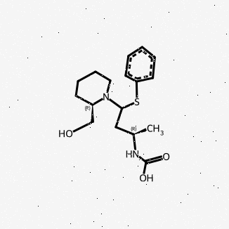 C[C@H](CC(Sc1ccccc1)N1CCCC[C@@H]1CO)NC(=O)O